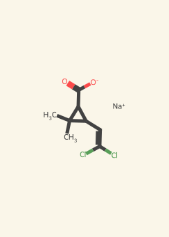 CC1(C)C(C=C(Cl)Cl)C1C(=O)[O-].[Na+]